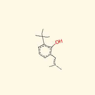 CC(C)=Cc1cccc(C(C)(C)C)c1O